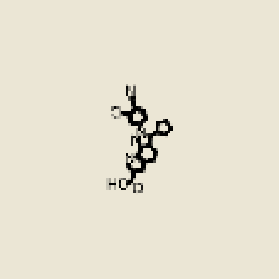 N#Cc1ccc(N2N=C3c4ncc(C(=O)O)cc4CCC3C2C2CCCC2)cc1Cl